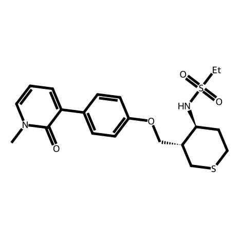 CCS(=O)(=O)N[C@H]1CCSC[C@@H]1COc1ccc(-c2cccn(C)c2=O)cc1